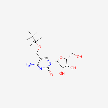 CC(C)(C)[Si](C)(C)OCc1cn([C@@H]2O[C@H](CO)C(O)[C@@H]2O)c(=O)nc1N